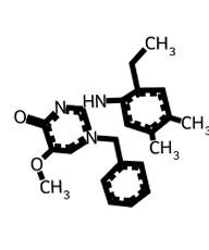 CCc1cc(C)c(C)cc1Nc1nc(=O)c(OC)cn1Cc1ccccc1